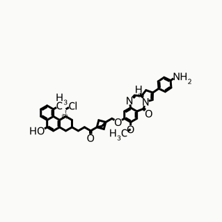 COc1cc2c(cc1OCC13CC(C(=O)CCC4Cc5cc(O)c6cccc(C)c6c5[C@H](CCl)C4)(C1)C3)N=C[C@@H]1CC(c3ccc(N)cc3)=CN1C2=O